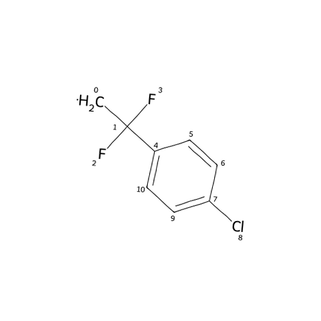 [CH2]C(F)(F)c1ccc(Cl)cc1